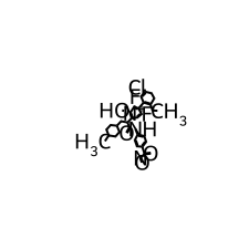 CC1CCC(CC(C(=O)Nc2ccc(C(=O)N=O)cc2)c2ccc(C3=C(C(C)F)CCC(Cl)=C3F)c[n+]2O)CC1